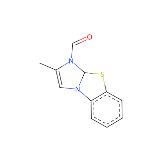 CC1=CN2c3ccccc3SC2N1C=O